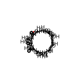 CCC(C)C1NC(=O)C(CCSC)NC(=O)CCCC(=O)NCCCCC(C(=O)O)NC(=O)C(C(C)O)NC(=O)CNC(=O)C(C)NC(=O)C(C(C)C)NC(=O)C(Cc2ccccc2)NC(=O)C(CCC(=O)O)NC(=O)C(Cc2ccc(O)cc2)NC(=O)C(Cc2c[nH]c3ccccc23)NC(=O)C(C(C)O)NC1=O